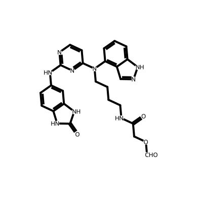 O=COCC(=O)NCCCCN(c1ccnc(Nc2ccc3[nH]c(=O)[nH]c3c2)n1)c1cccc2[nH]ncc12